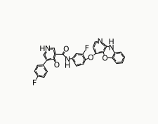 O=C(Nc1ccc(Oc2ccnc3c2Oc2ccccc2N3)c(F)c1)c1c[nH]cc(-c2ccc(F)cc2)c1=O